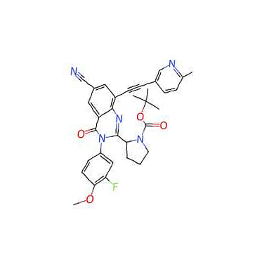 COc1ccc(-n2c(C3CCCN3C(=O)OC(C)(C)C)nc3c(C#Cc4ccc(C)nc4)cc(C#N)cc3c2=O)cc1F